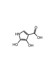 O=C(O)c1c[nH]c(O)c1O